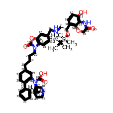 CC(C)(C)[Si](C)(C)O[C@H](CNCc1ccc2c(c1)oc(=O)n2CCCCc1ccc(-c2ccccc2)c(N(C(=O)O)[C@H]2CN3CCC2CC3)c1)c1ccc(O)c2c1OCC(=O)N2